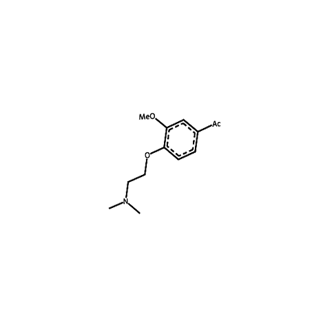 COc1cc(C(C)=O)ccc1OCCN(C)C